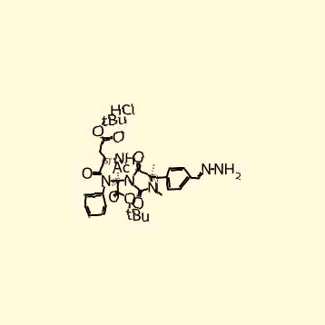 CC(=O)[C@@](C(=O)OC(C)(C)C)(N1C(=O)N(C)[C@](C)(c2ccc(C=NN)cc2)C1=O)N(C(=O)[C@@H](N)CC(=O)OC(C)(C)C)c1ccccc1.Cl